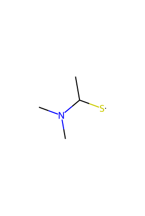 CC([S])N(C)C